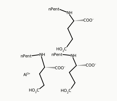 CCCCCN[C@@H](CCC(=O)O)C(=O)[O-].CCCCCN[C@@H](CCC(=O)O)C(=O)[O-].CCCCCN[C@@H](CCC(=O)O)C(=O)[O-].[Al+3]